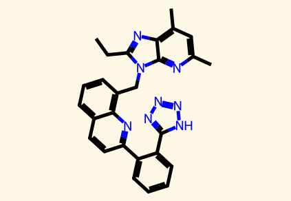 CCc1nc2c(C)cc(C)nc2n1Cc1cccc2ccc(-c3ccccc3-c3nnn[nH]3)nc12